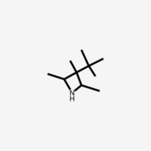 CC1NC(C)C1(C)C(C)(C)C